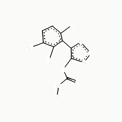 CCCCNC(=O)Oc1nsnc1-c1c(Cl)ccc(C#N)c1Cl